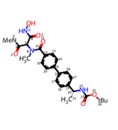 CNC(=O)C(C(=O)NO)N(C)C(=O)c1ccc(-c2ccc([C@@H](C)NC(=O)OC(C)(C)C)cc2)cc1